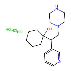 Cl.Cl.Cl.OC1(C(CN2CCNCC2)c2cccnc2)CCCCC1